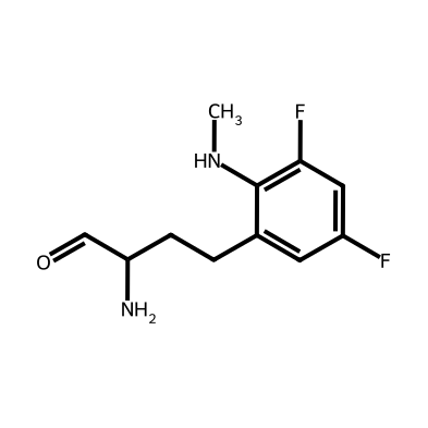 CNc1c(F)cc(F)cc1CCC(N)C=O